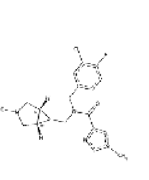 CN1C[C@@H]2C(CN(Cc3ccc(F)c(Cl)c3)C(=O)c3cn(C)cn3)[C@@H]2C1